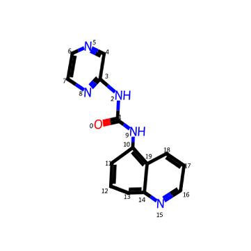 O=C(Nc1cnccn1)Nc1cccc2ncccc12